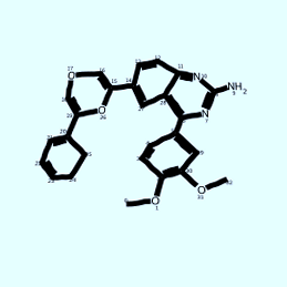 COc1ccc(-c2nc(N)nc3ccc(C4=COC=C(C5=CC=CCC5)O4)cc23)cc1OC